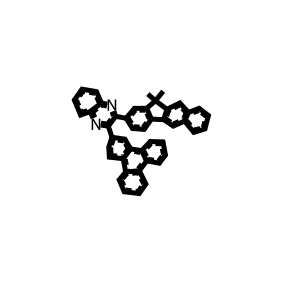 CC1(C)c2cc(-c3nc4ccccc4nc3-c3ccc4c5ccccc5c5ccccc5c4c3)ccc2-c2cc3ccccc3cc21